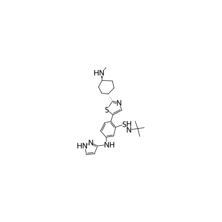 CN[C@H]1CC[C@H](c2ncc(-c3ccc(Nc4cc[nH]n4)cc3SNC(C)(C)C)s2)CC1